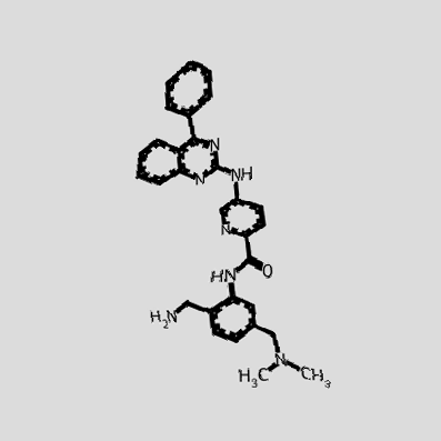 CN(C)Cc1ccc(CN)c(NC(=O)c2ccc(Nc3nc(-c4ccccc4)c4ccccc4n3)cn2)c1